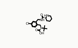 CC(C)(C)N(Cc1ccc(Cl)cc1CNC(=O)[C@@H]1CCCCN1)C(=O)O